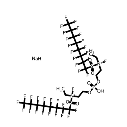 CC[N+](F)(CCOP(=O)(O)OCC[N+](F)(CC)S(=O)(=O)C(F)(F)C(F)(F)C(F)(F)C(F)(F)C(F)(F)C(F)(F)C(F)(F)C(F)(F)F)S(=O)(=O)C(F)(F)C(F)(F)C(F)(F)C(F)(F)C(F)(F)C(F)(F)C(F)(F)C(F)(F)F.[NaH]